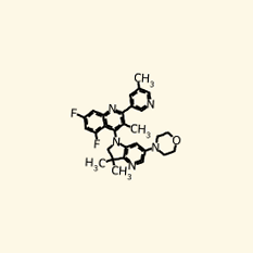 Cc1cncc(-c2nc3cc(F)cc(F)c3c(N3CC(C)(C)c4ncc(N5CCOCC5)cc43)c2C)c1